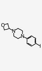 Ic1ccc(N2CCN(C3COC3)CC2)cc1